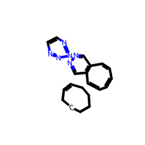 C1=CC=Cc2cnncc2C=C1.C1=CCCCCCC1.c1cnnnn1